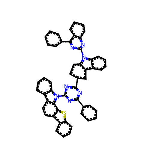 c1ccc(-c2nc(-c3ccc4c(c3)c3ccccc3n4-c3nc(-c4ccccc4)c4ccccc4n3)nc(-n3c4ccccc4c4ccc5c6ccccc6sc5c43)n2)cc1